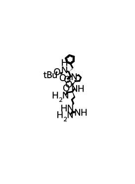 CC(C)(C)OC(=O)N[C@H](Cc1ccccc1)C(=O)N1CCC[C@H]1C(=O)N[C@@H](CCCNC(=N)N)C(N)=O